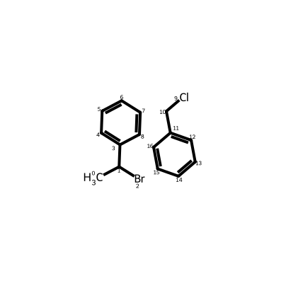 CC(Br)c1ccccc1.ClCc1ccccc1